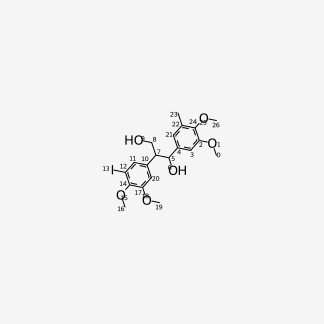 COc1cc(C(O)C(CO)c2cc(I)c(OC)c(OC)c2)cc(C)c1OC